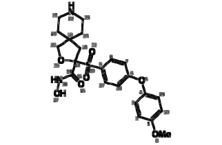 COc1ccc(Oc2ccc(S(=O)(=O)C3(C(=O)NO)CC4(CCNCC4)CO3)cc2)cc1